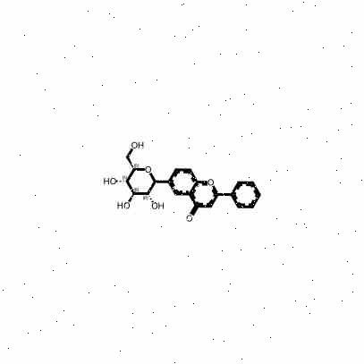 O=c1cc(-c2ccccc2)oc2ccc(C3O[C@H](CO)[C@@H](O)[C@H](O)[C@H]3O)cc12